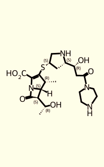 C[C@@H](O)[C@H]1C(=O)N2C(C(=O)O)=C(S[C@@H]3CN[C@H]([C@H](O)CC(=O)N4CCNCC4)C3)[C@H](C)[C@H]12